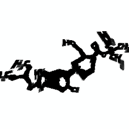 CCC(CC)Sc1nc2cc(Cl)c(N3CCN(C(=O)OC(C)(C)C)C(CO)C3)cc2[nH]1